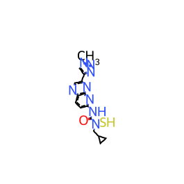 Cn1cc(-c2cnc3ccc(NC(=O)N(S)CC4CC4)nc3n2)nn1